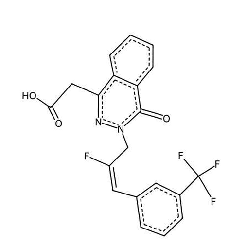 O=C(O)Cc1nn(C/C(F)=C\c2cccc(C(F)(F)F)c2)c(=O)c2ccccc12